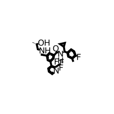 Cc1cc([C@@H](NC(=O)c2cc(CNC[C@H](C)O)cc(-c3cccnc3C(F)(F)F)c2)C2CC2)ccc1F